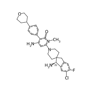 Cn1c(N2CCC3(CC2)Cc2cc(F)c(Cl)cc2[C@H]3N)cc(N)c(-c2ccc(C3CCOCC3)cc2)c1=O